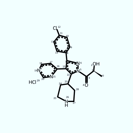 C[C@H](O)C(=O)n1nc(-c2ccc(Cl)cc2)c(-c2ccncn2)c1C1CCNCC1.Cl